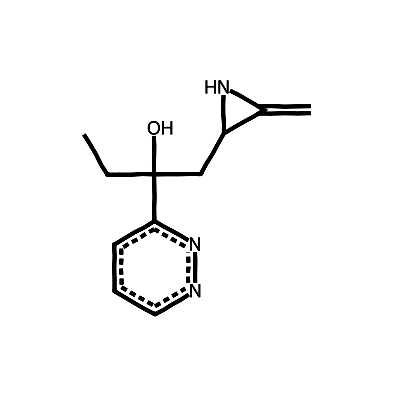 C=C1NC1CC(O)(CC)c1cccnn1